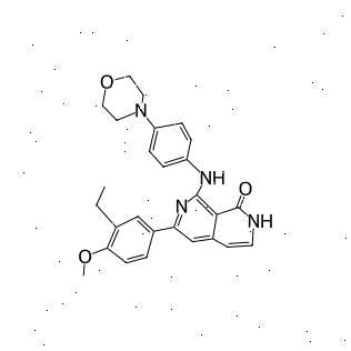 CCc1cc(-c2cc3cc[nH]c(=O)c3c(Nc3ccc(N4CCOCC4)cc3)n2)ccc1OC